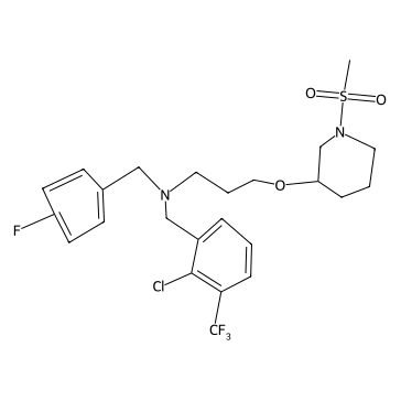 CS(=O)(=O)N1CCCC(OCCCN(Cc2ccc(F)cc2)Cc2cccc(C(F)(F)F)c2Cl)C1